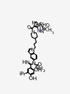 CC(C)c1cc(C(=N)N(C(N)=O)c2ccc3c(ccn3CCCC3CCN(C(=O)c4ncn(C=O)c4/N=N\N(C)C)CC3)c2)c(O)cc1O